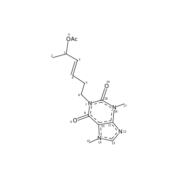 CC(=O)OC(C)C=CCCn1c(=O)c2c(ncn2C)n(C)c1=O